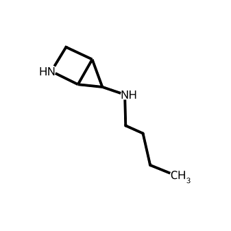 CCCCNC1C2CNC21